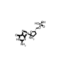 Nc1nc2c(ncn2[C@@]2(N)CC[C@@H](COP(=O)(O)O)O2)c(=O)[nH]1